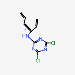 C=C/C=C(\C=C)Nc1nc(Cl)nc(Cl)n1